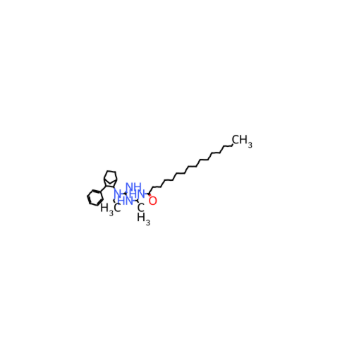 CCCCCCCCCCCCCCCC(=O)NC(C)NC(=N)N(CC)C1C2CCC(C2)C1c1ccccc1